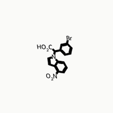 O=C(O)C(c1cccc(Br)c1)n1ccc2c([N+](=O)[O-])cccc21